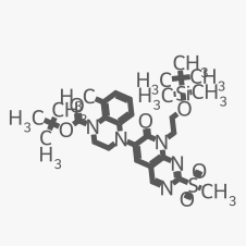 Cc1cccc2c1N(C(=O)OC(C)(C)C)CCN2c1cc2cnc(S(C)(=O)=O)nc2n(CCO[Si](C)(C)C(C)(C)C)c1=O